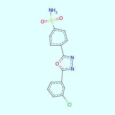 NS(=O)(=O)c1ccc(-c2nnc(-c3cccc(Cl)c3)o2)cc1